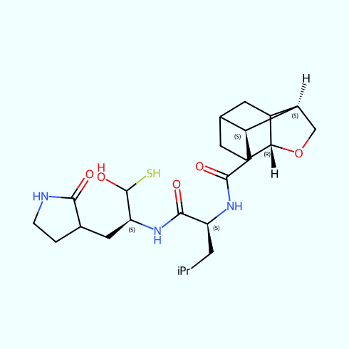 CC(C)C[C@H](NC(=O)C[C@H]1C2CC[C@H]3OC[C@@H]1C3C2)C(=O)N[C@@H](CC1CCNC1=O)C(O)S